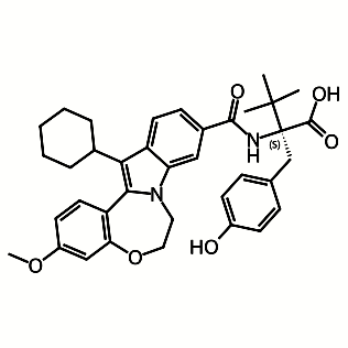 COc1ccc2c(c1)OCCn1c-2c(C2CCCCC2)c2ccc(C(=O)N[C@](Cc3ccc(O)cc3)(C(=O)O)C(C)(C)C)cc21